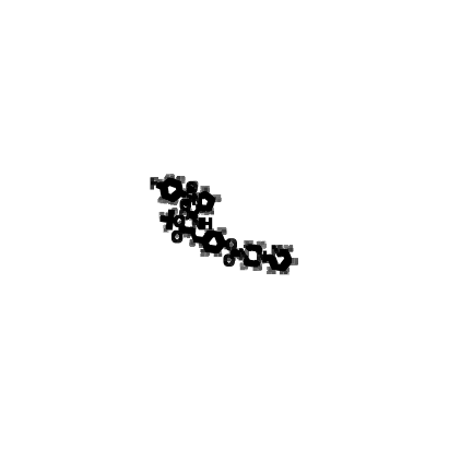 CC(C)(C)OC(=O)[C@H](Cc1ccc(OC(=O)N2CCN(c3ccccn3)CC2)cc1)NC(=O)[C@@H]1CCCN1S(=O)(=O)c1ccc(F)cc1